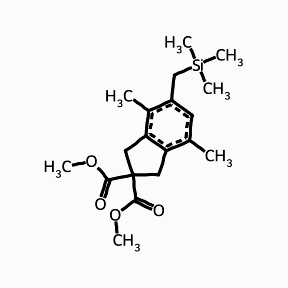 COC(=O)C1(C(=O)OC)Cc2c(C)cc(C[Si](C)(C)C)c(C)c2C1